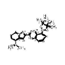 CN(C)[C@H]1CCCn2nc(C(=O)Nc3cccc(B4OC(C)(C)C(C)(C)O4)c3Cl)cc21